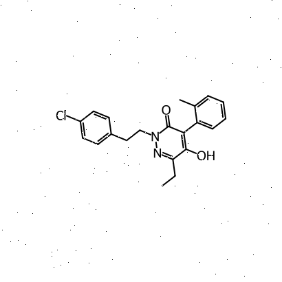 CCc1nn(CCc2ccc(Cl)cc2)c(=O)c(-c2ccccc2C)c1O